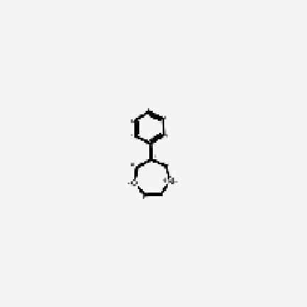 c1ccc(C2CNCCOC2)cc1